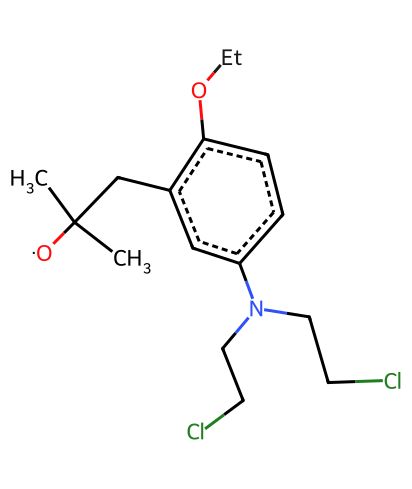 CCOc1ccc(N(CCCl)CCCl)cc1CC(C)(C)[O]